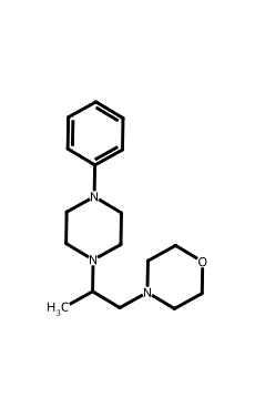 CC(CN1CCOCC1)N1CCN(c2ccccc2)CC1